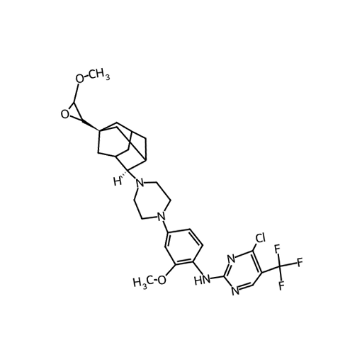 COc1cc(N2CCN([C@H]3C4CC5CC3C[C@@](C3OC3OC)(C5)C4)CC2)ccc1Nc1ncc(C(F)(F)F)c(Cl)n1